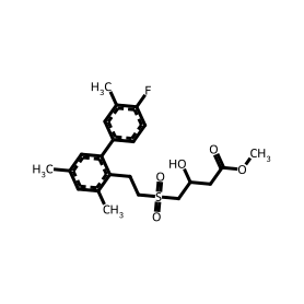 COC(=O)CC(O)CS(=O)(=O)CCc1c(C)cc(C)cc1-c1ccc(F)c(C)c1